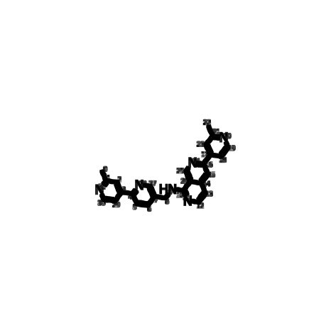 Cc1cc(-c2ccc(CNc3nccc4cc(-c5ccnc(C)c5)ncc34)cn2)ccn1